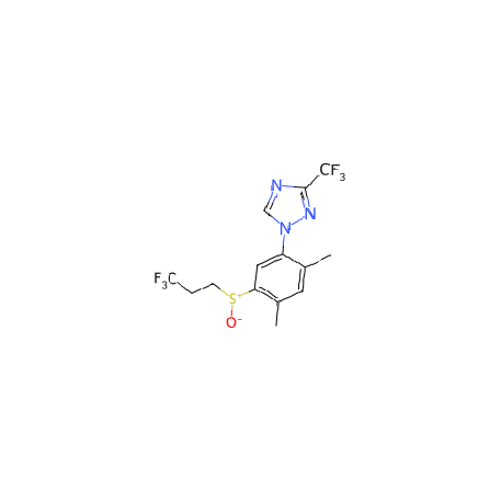 Cc1cc(C)c([S+]([O-])CCC(F)(F)F)cc1-n1cnc(C(F)(F)F)n1